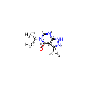 Cc1n[nH]c2ncn(C(C)C)c(=O)c12